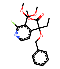 CCC(OCc1ccccc1)(C(=O)OC)c1ccnc(F)c1C(OC)OC